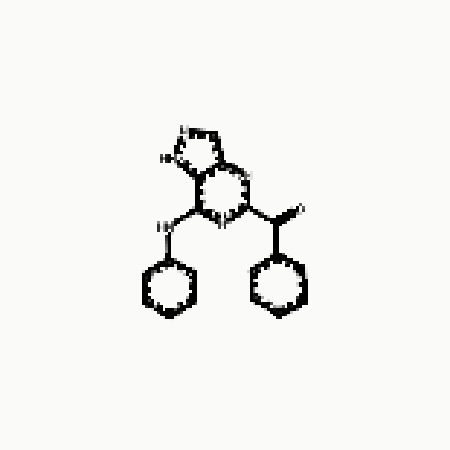 O=C(c1ccccc1)c1nc(Nc2cc[c]cc2)c2[nH]ncc2n1